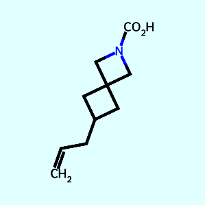 C=CCC1CC2(C1)CN(C(=O)O)C2